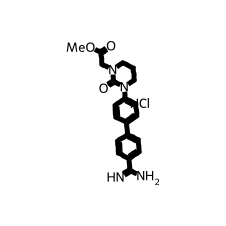 COC(=O)CN1CCCN(c2ccc(-c3ccc(C(=N)N)cc3)cc2)C1=O.Cl